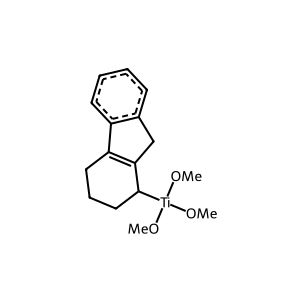 C[O][Ti]([O]C)([O]C)[CH]1CCCC2=C1Cc1ccccc12